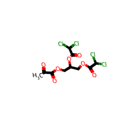 CC(=O)C(=O)OCC(COC(=O)C(Cl)Cl)OC(=O)C(Cl)Cl